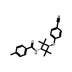 Cc1ccc(C(=O)N[C@H]2C(C)(C)[C@H](Oc3ccc(C#N)cc3)C2(C)C)cc1